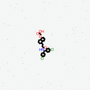 O=C(O)COc1cccc2c1CCCC2CCC(=O)NC(c1ccc(Cl)cc1)c1ccc(Cl)cc1